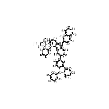 CC1(C)c2ccccc2-c2c1ccc1c2c2cc(-c3ccc4c(c3)-c3ccccc3C4c3ccccc3)ccc2n1-c1ccc2ccccc2c1